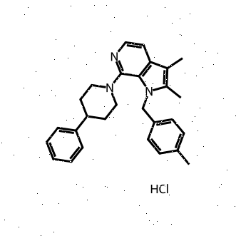 Cc1ccc(Cn2c(C)c(C)c3ccnc(N4CCC(c5ccccc5)CC4)c32)cc1.Cl